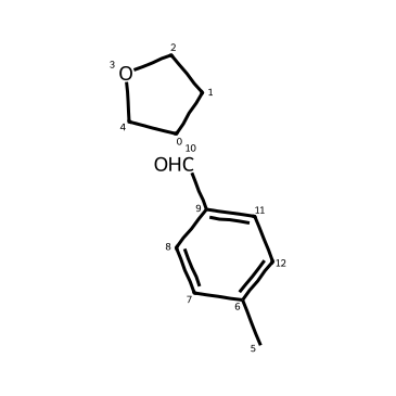 C1CCOC1.Cc1ccc(C=O)cc1